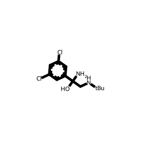 CC(C)(C)NCC(N)(O)c1cc(Cl)cc(Cl)c1